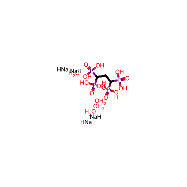 O.O.O.O.O=P(O)(O)C(CC(P(=O)(O)O)P(=O)(O)O)P(=O)(O)O.[NaH].[NaH].[NaH].[NaH]